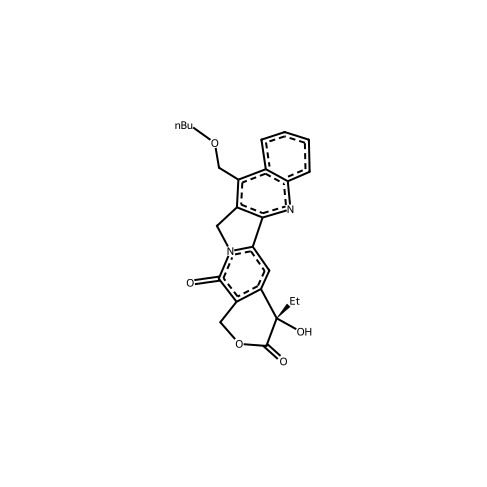 CCCCOCc1c2c(nc3ccccc13)-c1cc3c(c(=O)n1C2)COC(=O)[C@]3(O)CC